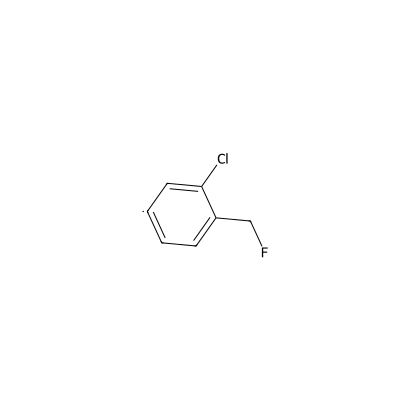 FCc1cc[c]cc1Cl